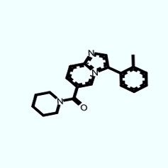 Cc1ccccc1-c1cnc2ccc(C(=O)N3CCCCC3)cn12